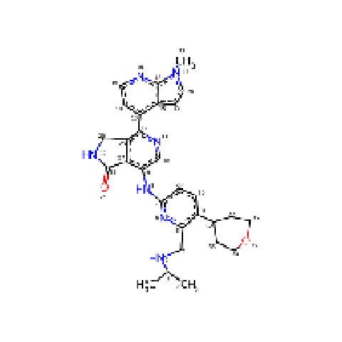 CC(C)NCc1nc(Nc2cnc(-c3ccnc4c3ccn4C)c3c2C(=O)NC3)ccc1C1CCOCC1